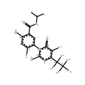 CC(C)OC(=O)c1cc(-n2c(Cl)nc(C(F)(F)C(F)(F)F)c(F)c2=O)c(F)cc1Cl